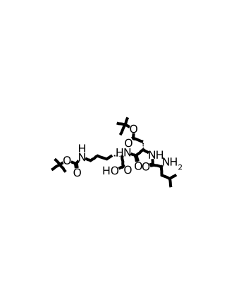 CC(C)C[C@H](N)C(=O)N[C@@H](CC(=O)OC(C)(C)C)C(=O)N[C@@H](CCCCNC(=O)OC(C)(C)C)C(=O)O